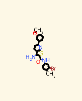 COc1cccc(-c2ccc3c(N)c(C(=O)Nc4ccc(C)c(Br)c4)sc3n2)c1